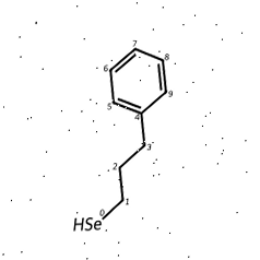 [SeH]CCCc1cc[c]cc1